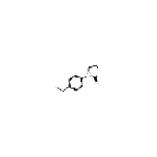 [CH2]Cc1ccc(N2CCOC2=O)cc1